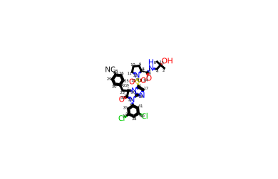 CC(C)(O)CNC(=O)[C@@H]1CCCN1S(=O)(=O)c1cnc2n1[C@](C)(Cc1ccc(C#N)cc1)C(=O)N2c1cc(Cl)cc(Cl)c1